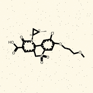 COCCCOc1cc2c(cc1Cl)-c1c(cc(C(=O)O)c(=O)n1[C@H]1C[C@@H]1C)CS2(=O)=O